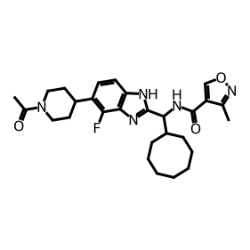 CC(=O)N1CCC(c2ccc3[nH]c(C(NC(=O)c4conc4C)C4CCCCCCC4)nc3c2F)CC1